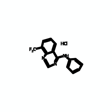 Cl.FC(F)(F)c1cccc2c(Nc3ccccc3)ncnc12